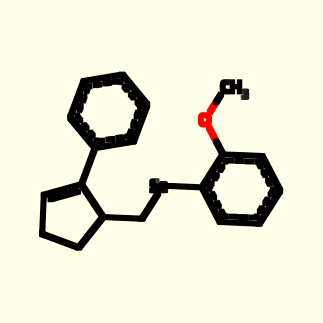 COc1ccccc1[Se]CC1CCC=C1c1ccccc1